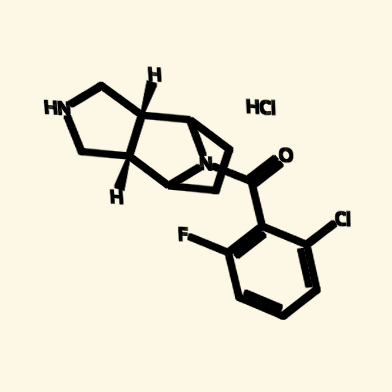 Cl.O=C(c1c(F)cccc1Cl)N1C2CCC1[C@@H]1CNC[C@H]21